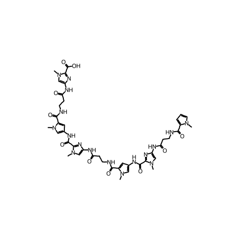 Cn1cc(NC(=O)c2nc(NC(=O)CCNC(=O)c3cc(NC(=O)c4nc(NC(=O)CCNC(=O)c5cccn5C)cn4C)cn3C)cn2C)cc1C(=O)NCCC(=O)Nc1cn(C)c(C(=O)O)n1